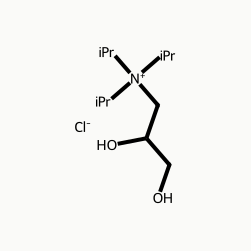 CC(C)[N+](CC(O)CO)(C(C)C)C(C)C.[Cl-]